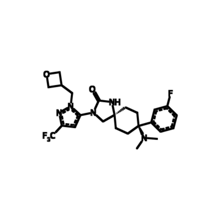 CN(C)[C@]1(c2cccc(F)c2)CC[C@]2(CC1)CN(c1cc(C(F)(F)F)nn1CC1COC1)C(=O)N2